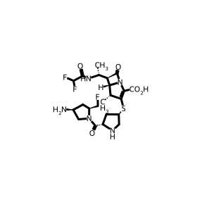 C[C@@H](NC(=O)C(F)F)[C@H]1C(=O)N2C(C(=O)O)=C(S[C@@H]3CN[C@H](C(=O)N4C[C@@H](N)C[C@H]4CF)C3)[C@H](C)[C@H]12